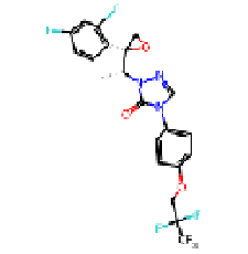 C[C@@H](n1ncn(-c2ccc(OCC(F)(F)C(F)(F)F)cc2)c1=O)[C@@]1(c2ccc(F)cc2F)CO1